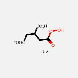 O=C([O-])CC(CC(=O)OO)C(=O)O.[Na+]